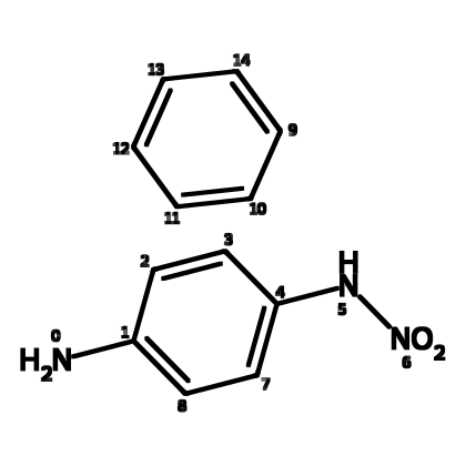 Nc1ccc(N[N+](=O)[O-])cc1.c1ccccc1